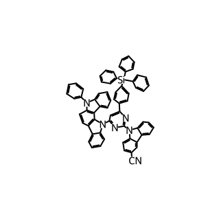 N#Cc1ccc2c(c1)c1ccccc1n2-c1nc(-c2ccc([Si](c3ccccc3)(c3ccccc3)c3ccccc3)cc2)cc(-n2c3ccccc3c3ccc4c(c5ccccc5n4-c4ccccc4)c32)n1